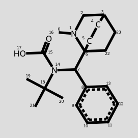 CN1CC2CCC1(C(c1ccccc1)N(C(=O)O)C(C)(C)C)CC2